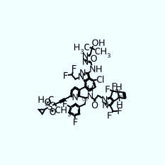 CC(C)(O)c1nnc(Nc2nn(CC(F)F)c3c(-c4ccc(C#CC(C)(C)S(=O)(=O)C5CC5)nc4[C@H](Cc4cc(F)cc(F)c4)NC(=O)Cn4nc(C(F)F)c5c4C(F)(F)[C@@H]4C#C[C@H]54)ccc(Cl)c23)o1